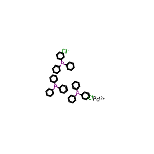 [Cl-].[Cl-].[Pd+2].c1ccc(P(c2ccccc2)c2ccccc2)cc1.c1ccc(P(c2ccccc2)c2ccccc2)cc1.c1ccc(P(c2ccccc2)c2ccccc2)cc1